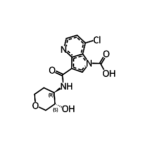 O=C(N[C@@H]1CCOC[C@H]1O)c1cn(C(=O)O)c2c(Cl)ccnc12